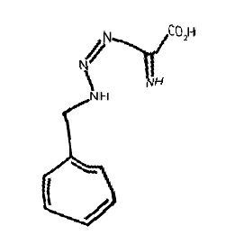 N=C(/N=N\NCc1ccccc1)C(=O)O